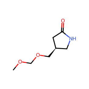 COCOC[C@@H]1CNC(=O)C1